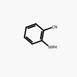 CNc1ccc[c]c1C#N